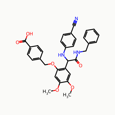 COc1cc(OCc2ccc(C(=O)O)cc2)c(C(Nc2ccc(C#N)cc2)C(=O)NCc2ccccc2)cc1OC